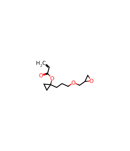 C=CC(=O)OC1(CCCOCC2CO2)CC1